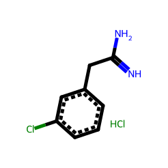 Cl.N=C(N)Cc1cccc(Cl)c1